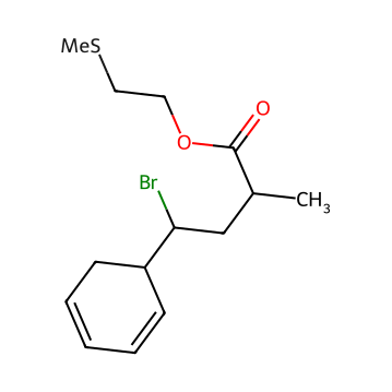 CSCCOC(=O)C(C)CC(Br)C1C=CC=CC1